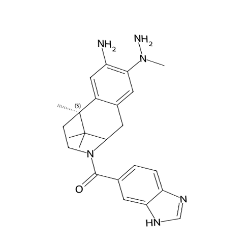 CN(N)c1cc2c(cc1N)[C@]1(C)CCN(C(=O)c3ccc4nc[nH]c4c3)C(C2)C1(C)C